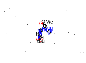 COC(=O)c1ccc2c(Nc3cnccn3)nn(-c3ccnc(N4C[C@@H]5C[C@H]4CN5C(=O)OC(C)(C)C)c3)c2c1